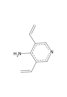 C=Cc1cncc(C=C)c1N